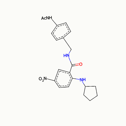 CC(=O)Nc1ccc(CNC(=O)c2cc([N+](=O)[O-])ccc2NC2CCCC2)cc1